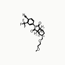 COCCOC[C@@H]1C[C@@]2(C)O[C@]1(C)[C@@H]1C(=O)N(c3ccc(C#N)c(C(F)(F)F)c3)C(=O)[C@@H]12